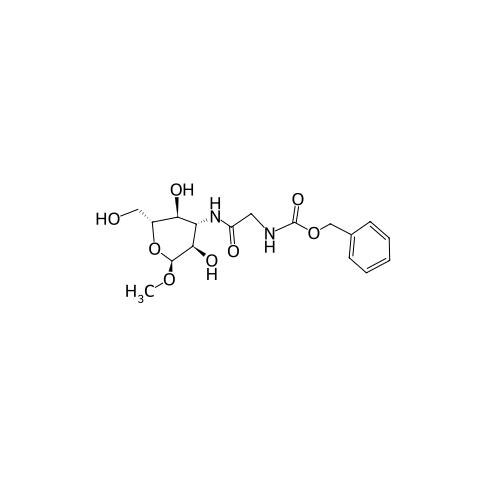 CO[C@H]1O[C@H](CO)[C@@H](O)[C@H](NC(=O)CNC(=O)OCc2ccccc2)[C@H]1O